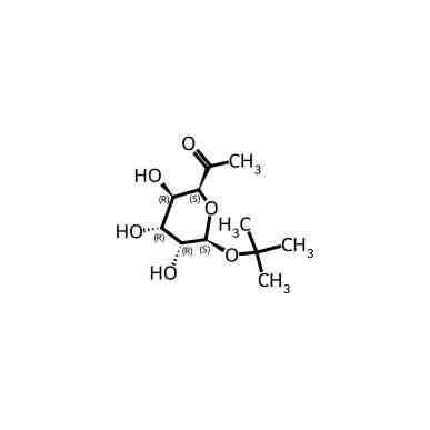 CC(=O)[C@H]1O[C@@H](OC(C)(C)C)[C@H](O)[C@H](O)[C@H]1O